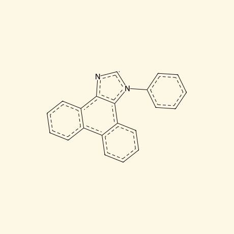 [c]1nc2c3ccccc3c3ccccc3c2n1-c1ccccc1